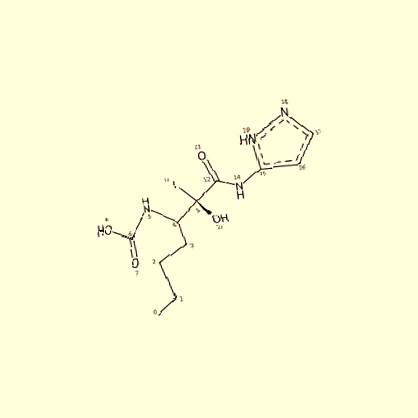 CCCCC(NC(=O)O)[C@](O)(I)C(=O)Nc1ccn[nH]1